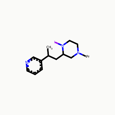 CC(CC1CN(C(C)C)CCN1I)c1cccnc1